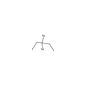 [2H]C([2H])(CI)CI